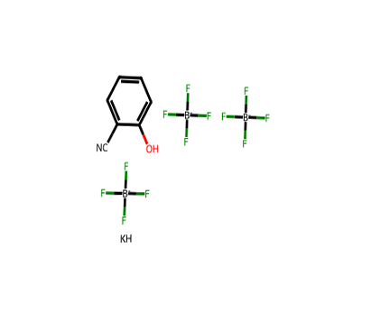 F[B-](F)(F)F.F[B-](F)(F)F.F[B-](F)(F)F.N#Cc1ccccc1O.[KH]